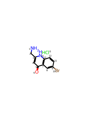 Cl.NCc1cc(=O)c2cc(Br)ccc2[nH]1